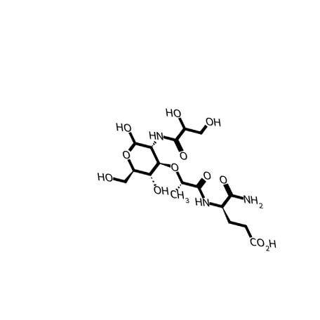 C[C@H](O[C@H]1[C@H](O)[C@@H](CO)OC(O)[C@@H]1NC(=O)C(O)CO)C(=O)N[C@H](CCC(=O)O)C(N)=O